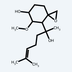 COC1C(O)CCC2(CO2)C1C(C)(O)CCC=C(C)C